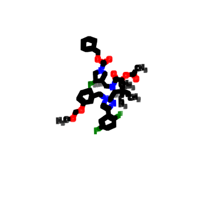 C=CC(C)(C)[C@H](c1nc(-c2cc(F)ccc2F)cn1Cc1cccc(OCOC)c1)N(C[C@@H]1CN(C(=O)OCc2ccccc2)C[C@@H]1F)C(=O)[C@H](C)OC(C)=O